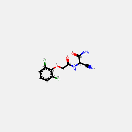 N#CC(NC(=O)COc1c(Cl)cccc1Cl)C(N)=O